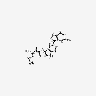 COC[C@H](C)NC(=O)Oc1c[nH]c2ncc(-n3cnc4ccc(Cl)cc43)nc12